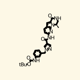 C[C@@H]1CNC(=O)c2cc3ccc(NC(=O)c4cnn(Cc5cccc(NC(=O)OC(C)(C)C)c5)c4)nc3n21